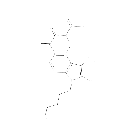 Cc1c(N)c2c3c(ccc2n1CCCCO)C(=O)C(=O)C(C(=O)O)O3